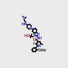 COc1ccccc1-c1nc(C)cc(C(=O)Nc2nc3ccc(N4CCC(NCCN(C)C)CC4)cc3n2CC(C)(C)O)c1F